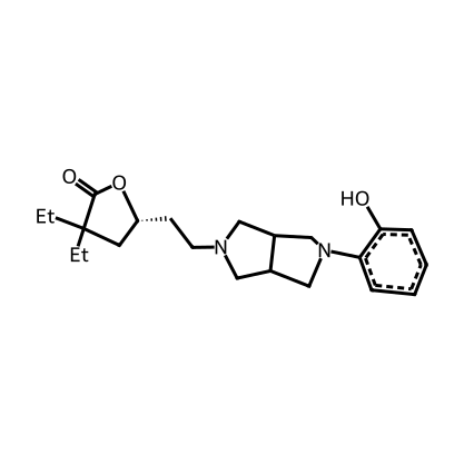 CCC1(CC)C[C@@H](CCN2CC3CN(c4ccccc4O)CC3C2)OC1=O